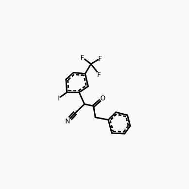 N#CC(C(=O)Cc1ccccc1)c1cc(C(F)(F)F)ccc1I